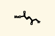 COC(=O)C=CC(=O)CBr